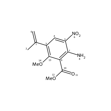 C=C(C)c1cc([N+](=O)[O-])c(N)c(C(=O)OC)c1OC